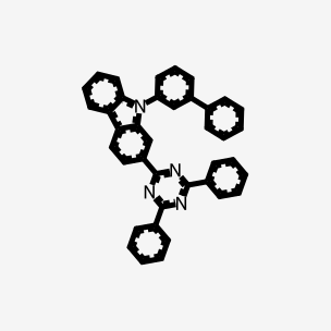 c1ccc(-c2cccc(-n3c4ccccc4c4ccc(-c5nc(-c6ccccc6)nc(-c6ccccc6)n5)cc43)c2)cc1